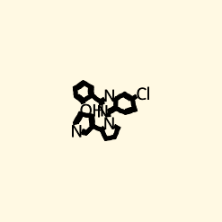 Oc1ccccc1-c1nc(N2CCCC2c2cccnc2)c2ccc(Cl)cc2n1